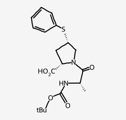 C[C@H](NC(=O)OC(C)(C)C)C(=O)N1C[C@@H](Sc2ccccc2)C[C@H]1C(=O)O